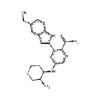 CCc1ccc2[nH]c(-c3nc(N[C@@H]4CCOC[C@@H]4N)cnc3C(N)=O)cc2c1